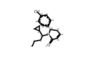 CCCC(C1CC1)N1C(=O)C=CC[C@H]1c1ccc(Cl)cc1